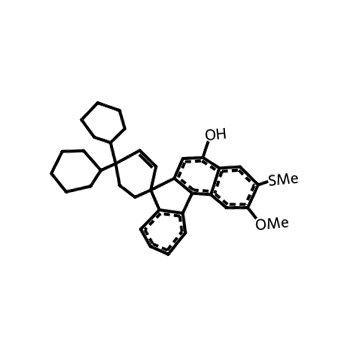 COc1cc2c3c(cc(O)c2cc1SC)C1(C=CC(C2CCCCC2)(C2CCCCC2)CC1)c1ccccc1-3